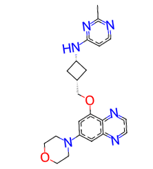 Cc1nccc(N[C@H]2C[C@@H](COc3cc(N4CCOCC4)cc4nccnc34)C2)n1